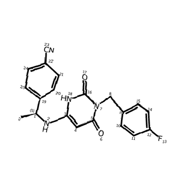 C[C@H](Nc1cc(=O)n(Cc2ccc(F)cc2)c(=O)[nH]1)c1ccc(C#N)cc1